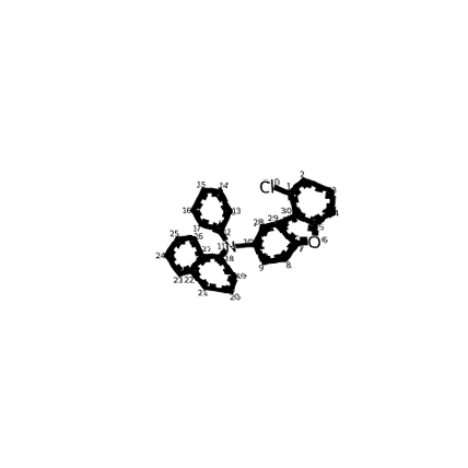 Clc1cccc2oc3ccc(N(c4ccccc4)c4cccc5ccccc45)cc3c12